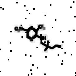 C=CCC(C)(C)CNc1ncc([N+](=O)[O-])cc1C(F)(F)F